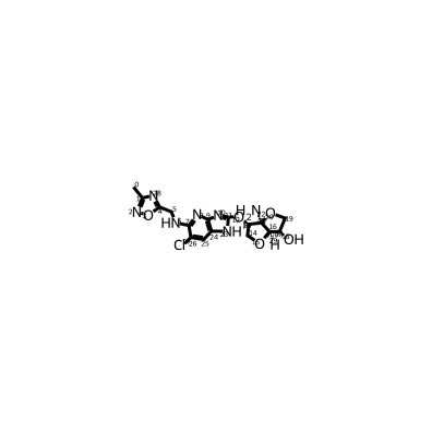 Cc1noc(CNc2nc3nc(O[C@@H]4CO[C@@H]5[C@H](O)CO[C@@]54N)[nH]c3cc2Cl)n1